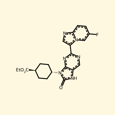 CCOC(=O)[C@H]1CC[C@H](n2c(=O)[nH]c3cnc(-c4cnc5ccc(F)cn45)nc32)CC1